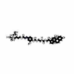 COc1cc(/C=C/C(=O)OCCC(CON(O)O)ON(O)O)ccc1OC(=O)OCCNC(=O)OCC(=O)C1CCC2[C@@H]3CCC4=CC(=O)C=C[C@]4(C)C3(F)[C@@H](O)C[C@]12C